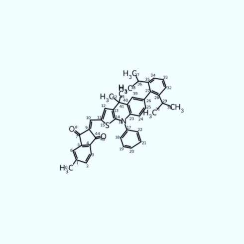 Cc1ccc2c(c1)C(=O)/C(=C/c1cc3c(s1)N(c1ccccc1)c1ccc(-c4c(C(C)C)cccc4C(C)C)cc1C3(C)C)C2=O